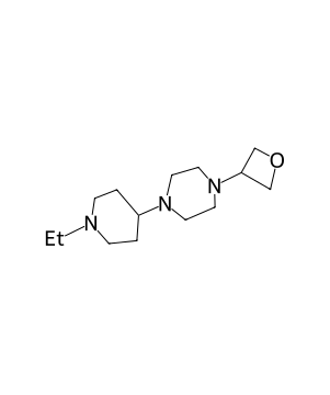 CCN1CCC(N2CCN(C3COC3)CC2)CC1